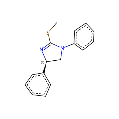 CSC1=N[C@H](c2ccccc2)CN1c1ccccc1